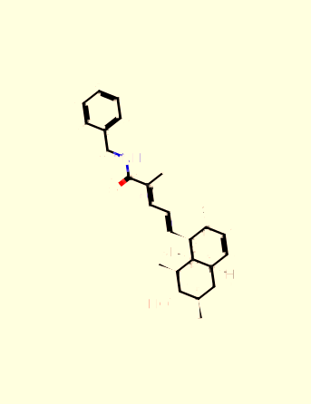 C/C(=C\C=C\[C@@H]1[C@@H]2[C@H](C)[C@@H](O)[C@H](C)C[C@@H]2C=C[C@H]1C)C(=O)NCc1ccccc1